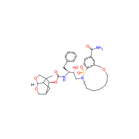 CC12CO[C@@H]3OCC(CC31)[C@@H]2OC(=O)N[C@@H](Cc1ccccc1)[C@H](O)CN1CCCCCCCOCc2cc(C(N)=O)ccc2S1(=O)=O